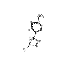 Cc1nnn(-c2ccc([N+](=O)[O-])cn2)n1